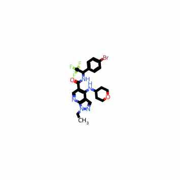 CCn1ncc2c(NC3CCOCC3)c(C(=O)NC(c3ccc(Br)cc3)C(F)(F)F)cnc21